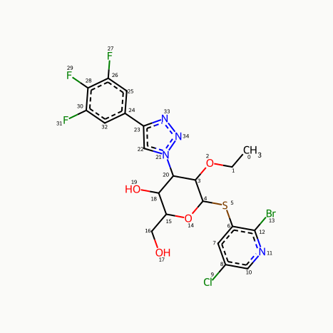 CCOC1C(Sc2cc(Cl)cnc2Br)OC(CO)C(O)C1n1cc(-c2cc(F)c(F)c(F)c2)nn1